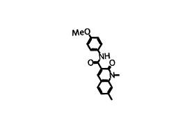 COc1ccc(NC(=O)c2cc3ccc(C)cc3n(C)c2=O)cc1